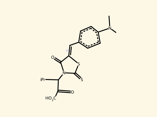 CC(C)C(C(=O)C(=O)O)N1C(=O)/C(=C/c2ccc(N(C)C)cc2)SC1=S